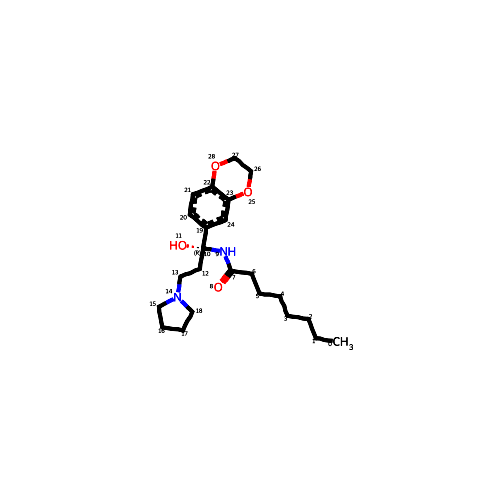 CCCCCCCC(=O)N[C@@](O)(CCN1CCCC1)c1ccc2c(c1)OCCO2